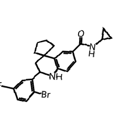 O=C(NC1CC1)c1ccc2c(c1)C1(CCCC1)CC(c1cc(F)ccc1Br)N2